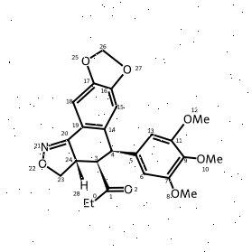 CCC(=O)[C@@H]1[C@H](c2cc(OC)c(OC)c(OC)c2)c2cc3c(cc2C2=NOC[C@H]21)OCO3